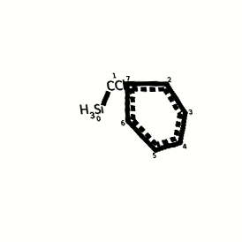 [SiH3]C(Cl)(Cl)Cl.c1ccccc1